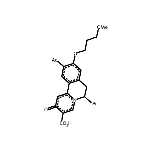 COCCCOc1cc2c(cc1C(C)=O)-c1cc(=O)c(C(=O)O)cn1[C@H](C(C)C)C2